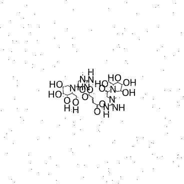 CN(CC(=O)N1C[C@H](O)[C@@H](O)[C@@H](O)C1CO)C(=N)NOC(=O)/C=C/C(=O)ONC(=N)N(C)CC(=O)N1C[C@H](O)[C@@H](O)[C@@H](O)C1CO